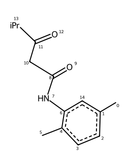 Cc1ccc(C)c(NC(=O)CC(=O)C(C)C)c1